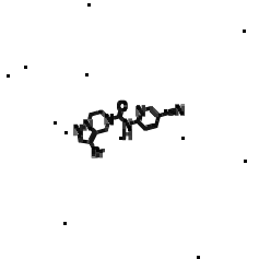 N#Cc1ccc(NC(=O)N2CCn3ncc(Br)c3C2)nc1